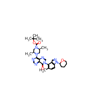 Cc1ccc2c(cnn2[C@@H]2CCCCO2)c1-n1cnc2c(N3C[C@H](C)N(C(=O)OC(C)(C)C)C[C@@H]3C)ncnc2c1=O